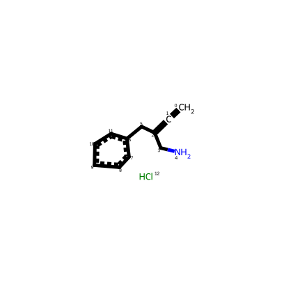 C=C=C(CN)Cc1ccccc1.Cl